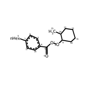 CCCCCCc1ccc(C(=O)OO[C]2CCCCC2C)cc1